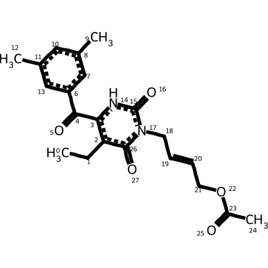 CCc1c(C(=O)c2cc(C)cc(C)c2)[nH]c(=O)n(C/C=C/COC(C)=O)c1=O